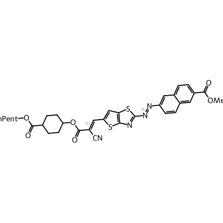 CCCCCOC(=O)C1CCC(OC(=O)/C(C#N)=C/c2cc3sc(/N=N/c4ccc5cc(C(=O)OC)ccc5c4)nc3s2)CC1